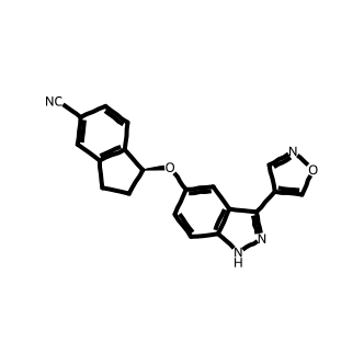 N#Cc1ccc2c(c1)CC[C@@H]2Oc1ccc2[nH]nc(-c3cnoc3)c2c1